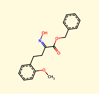 COc1ccccc1CCC(=NO)C(=O)OCc1ccccc1